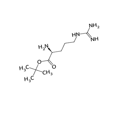 CC(C)(C)OC(=O)[C@@H](N)CCCNC(=N)N